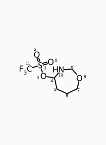 O=S(=O)(OC1CCCOCN1)C(F)(F)F